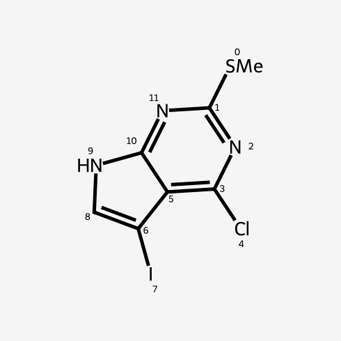 CSc1nc(Cl)c2c(I)c[nH]c2n1